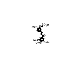 CCOC(=O)COc1cc(/C=C/C(=O)c2cc(OC)c(OC)c(OC)c2)ccc1OC